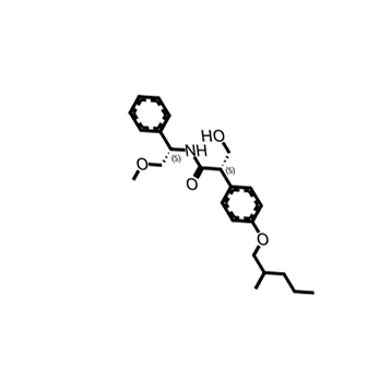 CCCC(C)COc1ccc([C@@H](CO)C(=O)N[C@H](COC)c2ccccc2)cc1